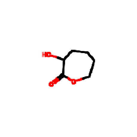 O=C1OCCCCC1O